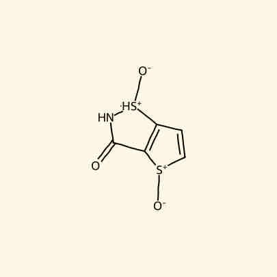 O=C1N[SH+]([O-])c2cc[s+]([O-])c21